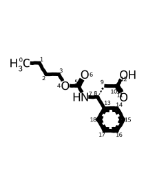 CCCCOC(=O)N[C@H](CC(=O)O)c1ccccc1